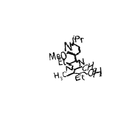 C/C=C(\c1nc(CC)c(-c2ccc(C(C)C)nc2OC)nc1C)[C@H](CC)CCO